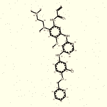 C=CC(=O)Nc1cc(Nc2cc(Nc3ccc(OCc4ccccn4)c(Cl)c3)ncn2)c(OC)cc1N(C)CCN(C)C